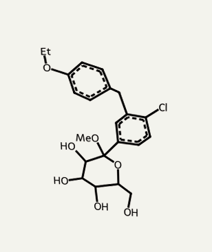 CCOc1ccc(Cc2cc(C3(OC)OC(CO)C(O)C(O)C3O)ccc2Cl)cc1